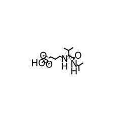 CC(C)NC(=O)[C@H](NCCCS(=O)(=O)O)C(C)C